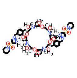 CC(C)C[C@H]1C(=O)O[C@H](Cc2ccc(Cn3cc(S(=O)(=O)N4CCCCC4)cn3)cc2)C(=O)N(C)[C@@H](CC(C)C)C(=O)O[C@H](C)C(=O)N(C)[C@@H](CC(C)C)C(=O)O[C@H](Cc2ccc(Cn3cc(S(=O)(=O)N4CCCCC4)cn3)cc2)C(=O)N(C)[C@@H](CC(C)C)C(=O)O[C@H](C)C(=O)N1C